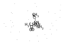 Cc1cc2c(cc1Sc1nc3c(N)ncnc3n1CCC1CCN(C)CC1)OCO2